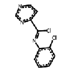 ClC(=Nc1ccccc1Cl)c1ccncn1